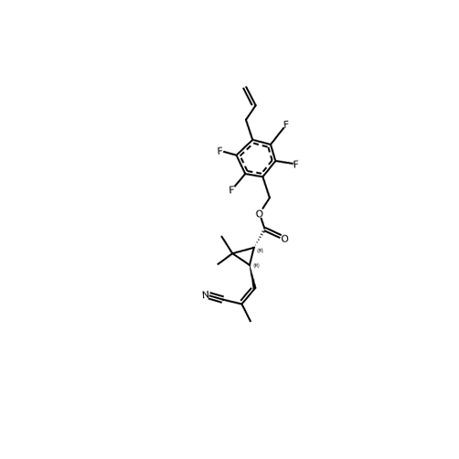 C=CCc1c(F)c(F)c(COC(=O)[C@@H]2[C@@H](C=C(C)C#N)C2(C)C)c(F)c1F